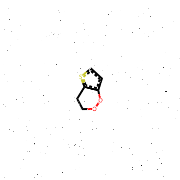 [CH]1Cc2sccc2OO1